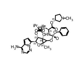 CC(C)C(=O)O[C@H]1[C@H](c2ccc3c(N)ncnn23)O[C@]2(C)C(OP(=O)(N[C@@H](C)C(=O)O[C@@H]3CCN(C)C3)Oc3ccccc3)[C@]12OC(=O)C(C)C